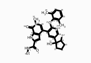 CCNC(=O)c1cc2c(-c3cc(C4(O)CCCC4I)cnc3Oc3c(C)cccc3C)cn(C)c(=O)c2[nH]1